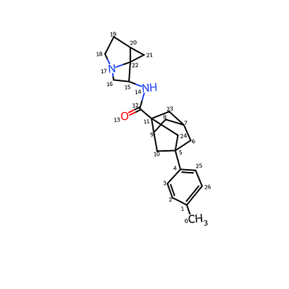 Cc1ccc(C23CC4CC(C2)C(C(=O)NC2CN5CCC6CC625)(C4)C3)cc1